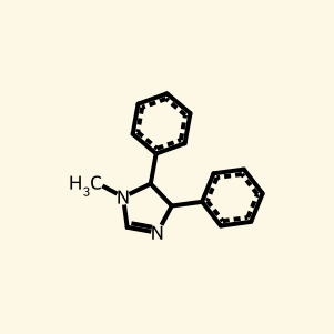 CN1C=NC(c2ccccc2)C1c1ccccc1